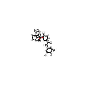 O=C(Nc1cc(F)c(F)c(F)c1)c1ccc(Cl)c(S(=O)(=O)C2C3CC[C@H]2C(CO)C(=O)C3)c1